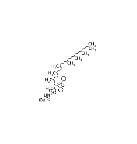 CC(C)=CCC/C(C)=C/CC/C(C)=C/CC/C(C)=C/CC/C(C)=C/CC/C(C)=C/CC/C(C)=C/Cc1c(C)c(OC(=O)CNC(=O)OC(C)(C)C)c2ccccc2c1OC(=O)c1ccccc1